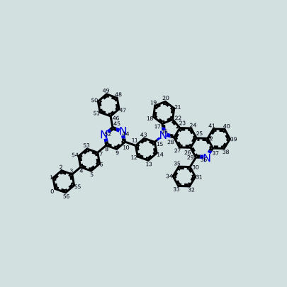 c1ccc(-c2ccc(-c3cc(-c4cccc(-n5c6ccccc6c6cc7c(cc65)c(-c5ccccc5)nc5ccccc57)c4)nc(-c4ccccc4)n3)cc2)cc1